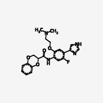 CN(C)CCOc1cc(-c2c[nH]cn2)c(F)cc1NC(=O)C1COc2ccccc2O1